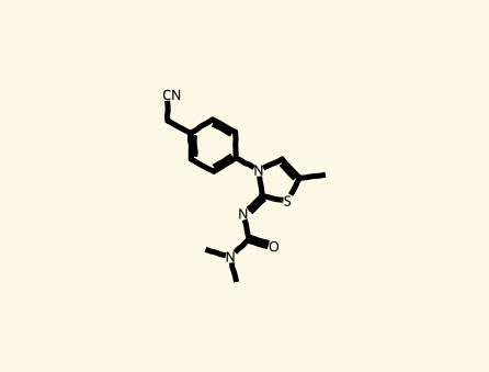 Cc1cn(-c2ccc(CC#N)cc2)/c(=N/C(=O)N(C)C)s1